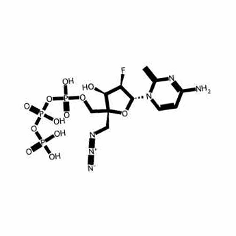 C=C1N=C(N)C=CN1[C@@H]1O[C@](CN=[N+]=[N-])(COP(=O)(O)OP(=O)(O)OP(=O)(O)O)[C@@H](O)[C@H]1F